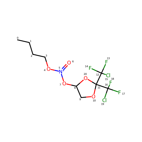 CCCCO[N+](=O)OC1COC(C(F)(F)Cl)(C(F)(F)Cl)O1